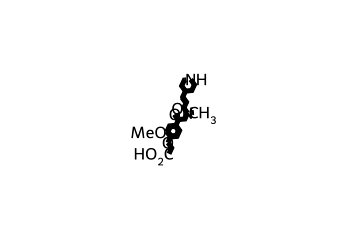 COc1cc(C(=O)CN(C)C(=O)/C=C/C2CCNCC2)ccc1OCC(=O)O